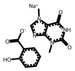 Cn1cnc2c1c(=O)[nH]c(=O)n2C.O=C([O-])c1ccccc1O.[Na+]